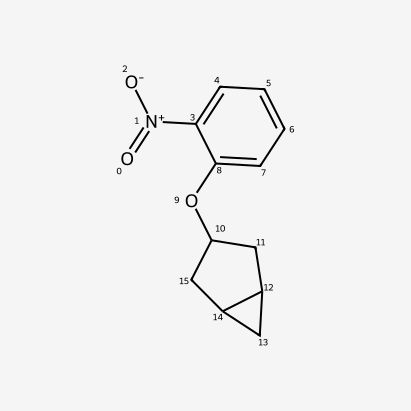 O=[N+]([O-])c1ccccc1OC1CC2CC2C1